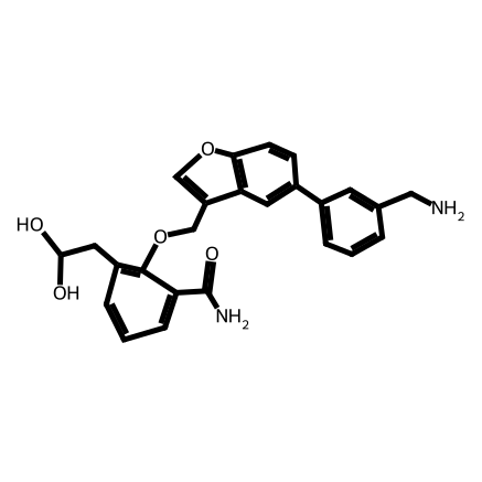 NCc1cccc(-c2ccc3occ(COc4c(CC(O)O)cccc4C(N)=O)c3c2)c1